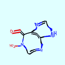 O=c1c2nc[nH]c2ncn1O